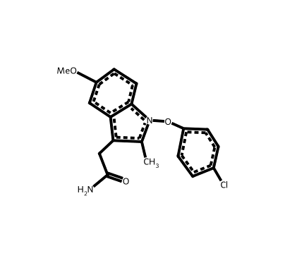 COc1ccc2c(c1)c(CC(N)=O)c(C)n2Oc1ccc(Cl)cc1